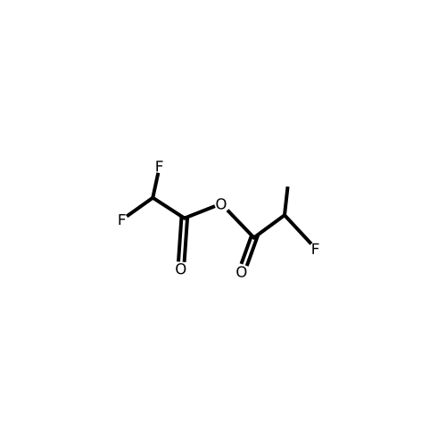 CC(F)C(=O)OC(=O)C(F)F